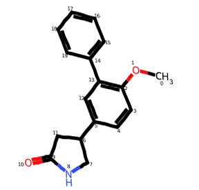 COc1ccc(C2CNC(=O)C2)cc1-c1ccccc1